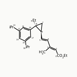 CCOC(=O)/C=C(C)/C=C/[C@@H]1C[C@]1(CC)c1cc(C(C)C)cc(C(C)C)c1